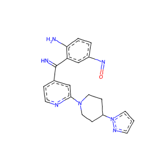 N=C(c1ccnc(N2CCC(n3cccn3)CC2)c1)c1cc(N=O)ccc1N